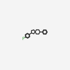 Fc1ccc(C2CCC3(CCC(c4ccccc4)CC3)C2)cc1